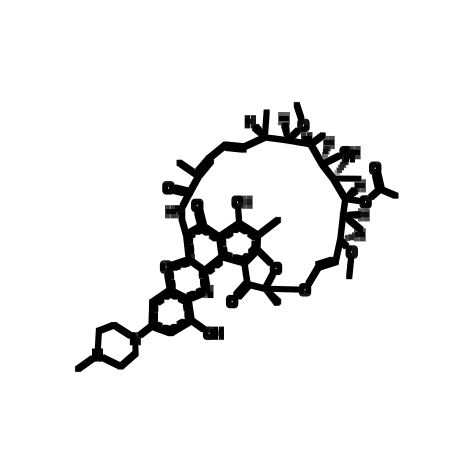 CO[C@@H]1[C@@H](C)[C@@H](O)[C@@H](C)[C@H](OC(C)=O)[C@H](C)[C@@H](OC)/C=C/O[C@@]2(C)Oc3c(C)c(O)c4c(=O)c(c5oc6cc(N7CCN(C)CC7)cc(O)c6nc-5c4c3C2=O)NC(=O)/C(C)=C\C=C\[C@@H]1C